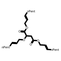 CCCCCC=CCOC(=O)CC(OCC=CCCCCC)C(=O)OCC=CCCCCC